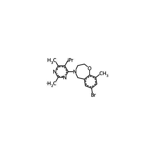 [CH2]c1nc(C)c(C(C)C)c(N2CCOc3c(C)cc(Br)cc3C2)n1